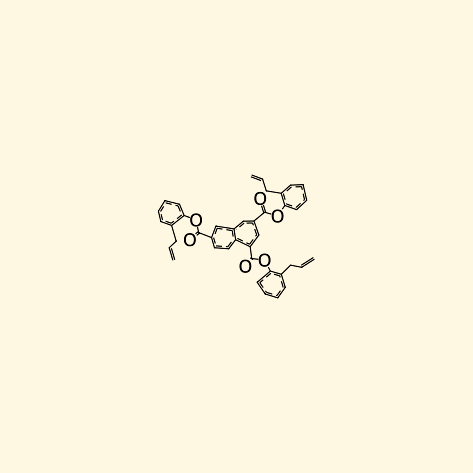 C=CCc1ccccc1OC(=O)c1ccc2c(C(=O)Oc3ccccc3CC=C)cc(C(=O)Oc3ccccc3CC=C)cc2c1